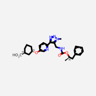 C[C@H](Cc1ccccc1)OC(=O)NCc1c(-c2ccc(O[C@H]3CCC[C@H](C(=O)O)C3)cn2)nnn1C